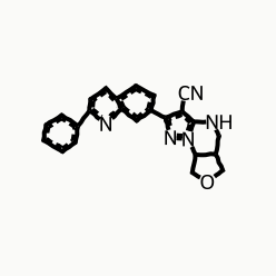 N#Cc1c(-c2ccc3ccc(-c4ccccc4)nc3c2)nn2c1NCC1COCC12